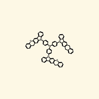 c1ccc2c(c1)Cc1cc3c4ccccc4n(-c4ccc(N(c5ccc(-n6c7ccccc7c7cc8c(cc76)Cc6ccccc6S8)cc5)c5ccc(-n6c7ccccc7c7cc8c(cc76)Sc6ccccc6C8)cc5)cc4)c3cc1C2